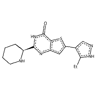 CCc1[nH]ncc1-c1cc2nc([C@@H]3CCCCN3)[nH]c(=O)c2s1